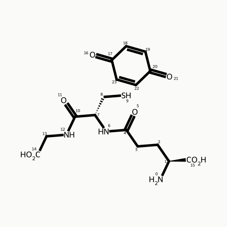 N[C@@H](CCC(=O)N[C@@H](CS)C(=O)NCC(=O)O)C(=O)O.O=C1C=CC(=O)C=C1